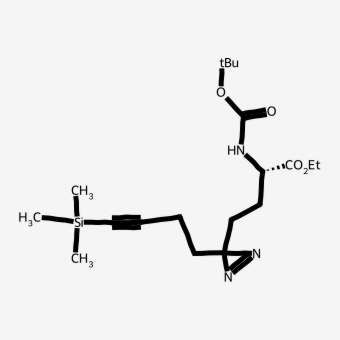 CCOC(=O)[C@H](CCC1(CCC#C[Si](C)(C)C)N=N1)NC(=O)OC(C)(C)C